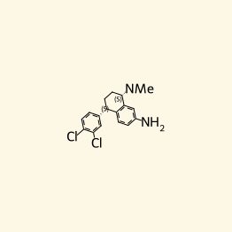 CN[C@H]1CC[C@@H](c2ccc(Cl)c(Cl)c2)c2ccc(N)cc21